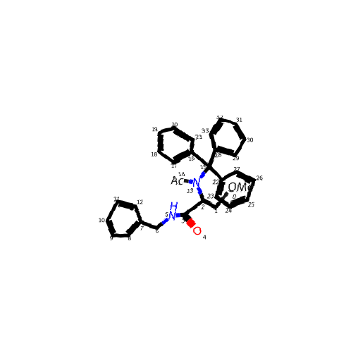 COCC(C(=O)NCc1ccccc1)N(C(C)=O)C(c1ccccc1)(c1ccccc1)c1ccccc1